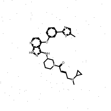 Cc1cnc(-c2cccc(Oc3ccnc4[nH]nc(N[C@@H]5CCCN(C(=O)/C=C/CN(C)C6CC6)C5)c34)c2)s1